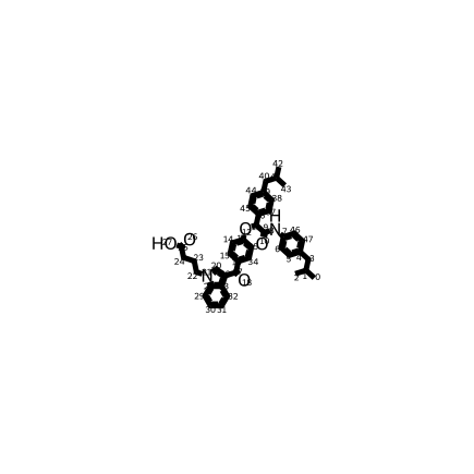 CC(C)Cc1ccc(NC(=O)C(Oc2ccc(C(=O)c3cn(CCCC(=O)O)c4ccccc34)cc2)c2ccc(CC(C)C)cc2)cc1